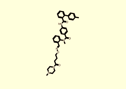 Cc1ccc(-c2ccccc2C(=O)Nc2ccc(C(=O)N(C)c3ccccc3C=NOCCCC(=O)N3CCN(C)CC3)cc2)cc1